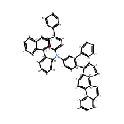 c1ccc(-c2ccc(N(c3ccc(-c4cccc5c4ccc4c6ccccc6ccc54)c(-c4ccccc4)c3)c3ccccc3-c3cccc4ccccc34)cc2)cc1